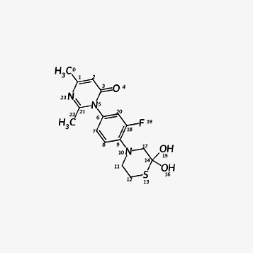 Cc1cc(=O)n(-c2ccc(N3CCSC(O)(O)C3)c(F)c2)c(C)n1